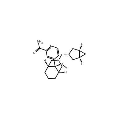 CO[C@]1(c2ccnc(C(N)=O)c2)[C@@H]2CCC[C@H]1CN(C[C@@H]1C[C@@H]3C[C@@H]3C1)C2